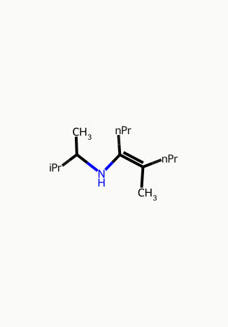 CCC/C(C)=C(\CCC)NC(C)C(C)C